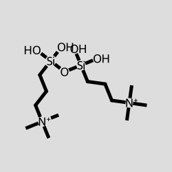 C[N+](C)(C)CCC[Si](O)(O)O[Si](O)(O)CCC[N+](C)(C)C